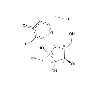 O=c1cc(CO)occ1O.OC[C@H]1O[C@](O)(CO)[C@@H](O)[C@@H]1O